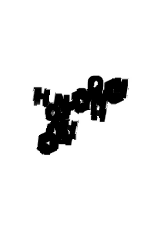 NC(CC(=O)NCc1ccccc1Br)c1ccc(C(=O)Nc2ccncc2)cc1